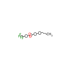 CCCCCC1CCC(C2CCC(C3COC(C4CCC(/C(F)=C/C(F)(F)F)CC4)OC3)CC2)CC1